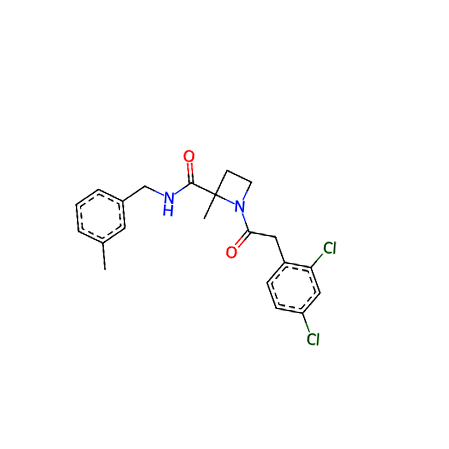 Cc1cccc(CNC(=O)C2(C)CCN2C(=O)Cc2ccc(Cl)cc2Cl)c1